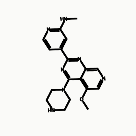 CNc1cc(-c2nc(N3CCNCC3)c3c(OC)cncc3n2)ccn1